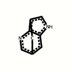 c1nc2c3c[nH]c2cc1C3